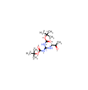 CC(=O)CN/C(=N/C(=O)OC(C)(C)C)NC(=O)OC(C)(C)C